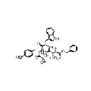 C[C@@H](NC(=O)OCc1ccccc1)C(=O)N[C@@H](Cc1c[nH]c2ccccc12)C(=O)N[C@@H](Cc1ccc(O)cc1)C(=O)[C@@]1(C)CO1